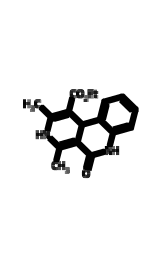 CCOC(=O)C1=C(C)NC(C)=C2C(=O)Nc3ccccc3C21